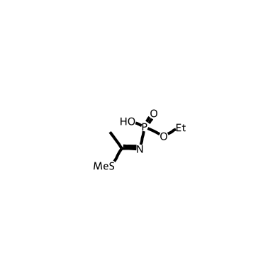 CCOP(=O)(O)N=C(C)SC